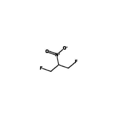 O=[N+]([O-])C(CF)CF